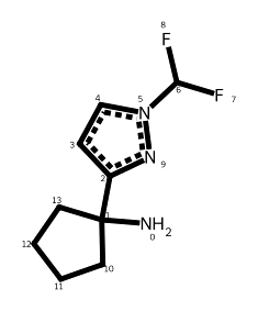 NC1(c2ccn(C(F)F)n2)CCCC1